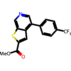 COC(=O)c1cc2c(-c3ccc(C(F)(F)F)cc3)cncc2s1